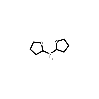 C1COC([SiH2]C2CCCO2)C1